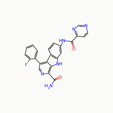 NC(=O)c1ncc(-c2ccccc2F)c2c1[nH]c1cc(NC(=O)c3ccncn3)ccc12